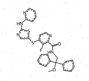 COC(CNC(=O)c1nccc(Sc2cnc(Nc3ccccn3)s2)c1F)(c1ccccc1)c1ccccc1